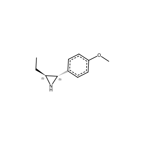 CC[C@@H]1N[C@H]1c1ccc(OC)cc1